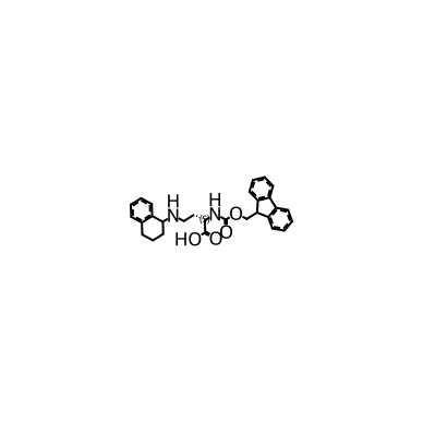 O=C(N[C@@H](CCNC1CCCc2ccccc21)C(=O)O)OCC1c2ccccc2-c2ccccc21